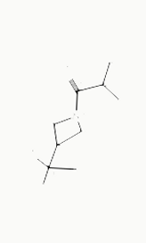 CC(C)C(=O)N1CC(C(F)(F)F)C1